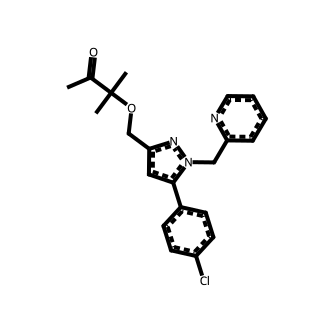 CC(=O)C(C)(C)OCc1cc(-c2ccc(Cl)cc2)n(Cc2ccccn2)n1